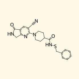 N#Cc1cc2c(nc1N1CCC(C(=O)NSCc3ccccc3)CC1)CNC2=O